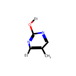 CCOc1ncc(C)c(CC)n1